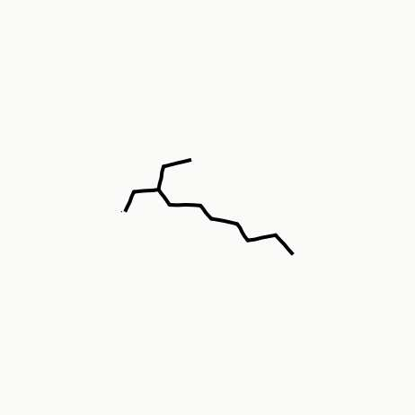 [CH2]CC(CC)CCCCCCC